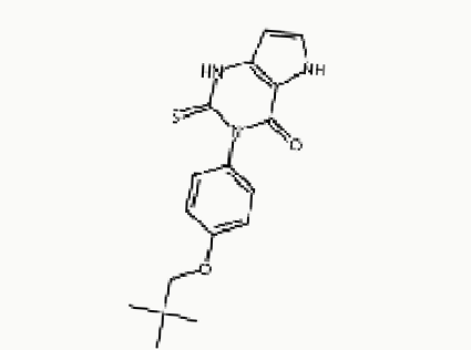 CC(C)(C)COc1ccc(-n2c(=S)[nH]c3cc[nH]c3c2=O)cc1